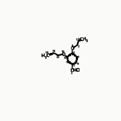 C=CCOc1ccc(C=O)cc1OCC=C